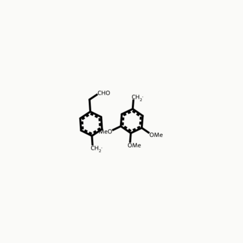 [CH2]c1cc(OC)c(OC)c(OC)c1.[CH2]c1ccc(CC=O)cc1